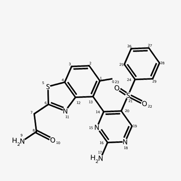 Cc1ccc2sc(CC(N)=O)nc2c1-c1nc(N)ncc1S(=O)(=O)c1ccccc1